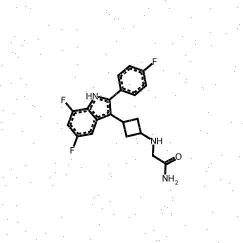 NC(=O)CNC1CC(c2c(-c3ccc(F)cc3)[nH]c3c(F)cc(F)cc23)C1